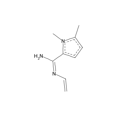 C=C/N=C(/N)c1ccc(C)n1C